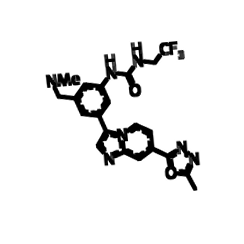 CNCc1cc(NC(=O)NCC(F)(F)F)cc(-c2cnc3cc(-c4nnc(C)o4)ccn23)c1